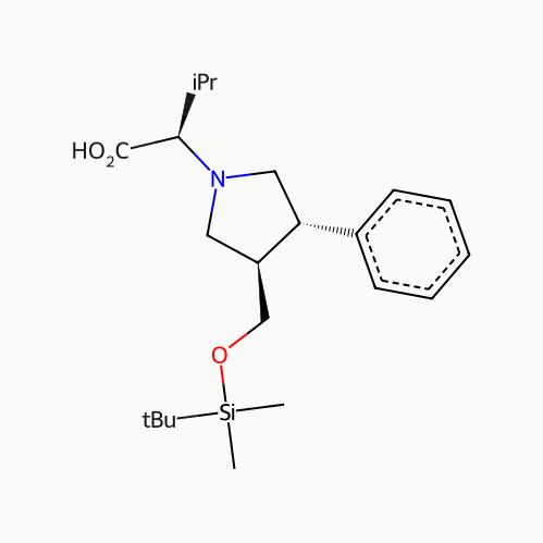 CC(C)[C@H](C(=O)O)N1C[C@H](CO[Si](C)(C)C(C)(C)C)[C@@H](c2ccccc2)C1